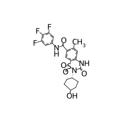 Cc1cc2c(cc1C(=O)Nc1cc(F)c(F)c(F)c1)S(=O)(=O)N([C@H]1CC[C@H](O)CC1)C(=O)N2